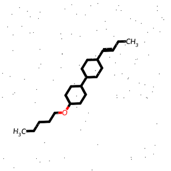 CCC=CC1CCC(C2CCC(OCCCCC)CC2)CC1